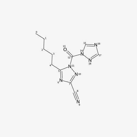 CCCCCc1nc(C#N)nn1C(=O)n1cncn1